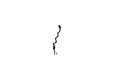 C#CCCCCCCC#CCC